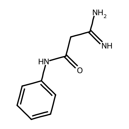 N=C(N)CC(=O)Nc1ccccc1